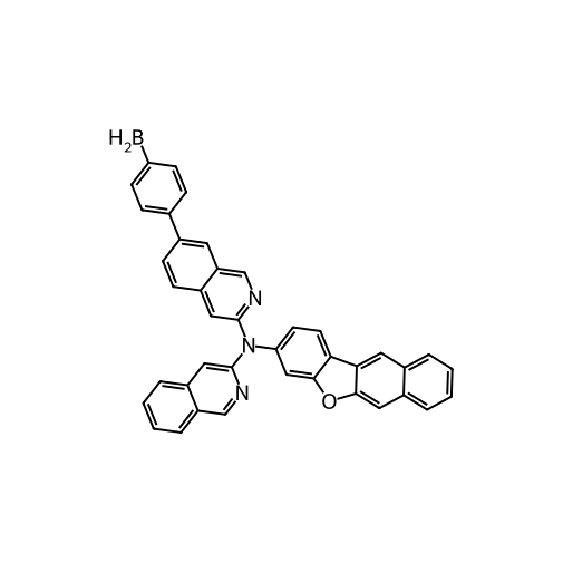 Bc1ccc(-c2ccc3cc(N(c4ccc5c(c4)oc4cc6ccccc6cc45)c4cc5ccccc5cn4)ncc3c2)cc1